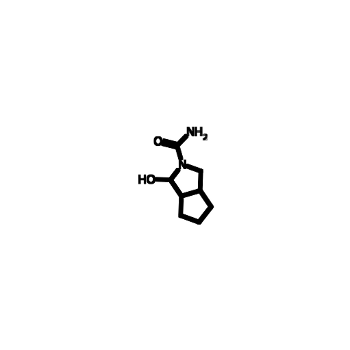 NC(=O)N1CC2CCCC2C1O